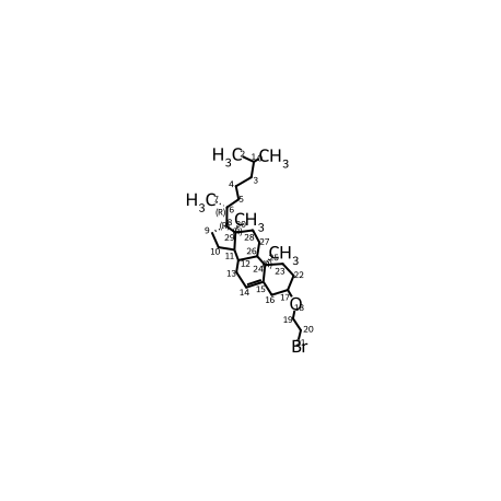 CC(C)CCC[C@@H](C)[C@H]1CCC2C3CC=C4CC(OCCBr)CC[C@]4(C)C3CC[C@@]21C